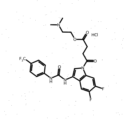 CN(C)CCOC(=O)CCC(=O)n1cc(NC(=O)Nc2ccc(C(F)(F)F)cc2)c2cc(F)c(F)cc21.Cl